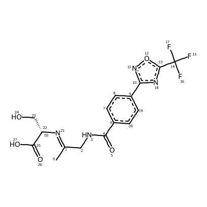 CC(CNC(=O)c1ccc(-c2noc(C(F)(F)F)n2)cc1)=N[C@@H](CO)C(=O)O